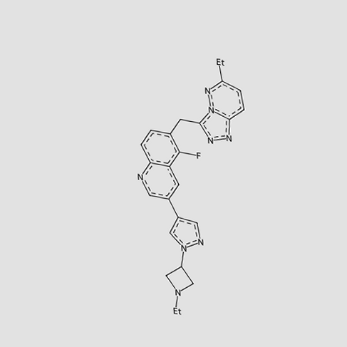 CCc1ccc2nnc(Cc3ccc4ncc(-c5cnn(C6CN(CC)C6)c5)cc4c3F)n2n1